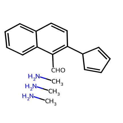 CN.CN.CN.O=Cc1c(C2C=CC=C2)ccc2ccccc12